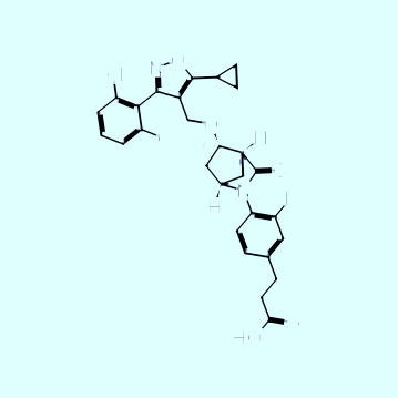 O=C(O)CCc1ccc(N2C(=O)[C@@H]3C[C@H]2C[C@H]3OCc2c(-c3c(Cl)cccc3Cl)noc2C2CC2)c(F)c1